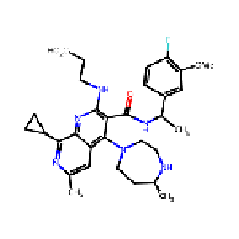 COc1cc(C(C)NC(=O)c2c(NCCC(=O)O)nc3c(C4CC4)nc(C)cc3c2N2CCN[C@@H](C)CC2)ccc1F